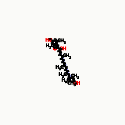 CC1=C[C@@H](O)CC(C)(C)[C@H]1/C=C/C(C)=C/C=C/C(C)=C/C=C/C=C(C)/C=C/C=C(\O)C(=O)CC1=C(C)C[C@@H](O)CC1(C)C